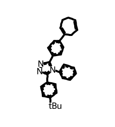 CC(C)(C)c1ccc(-c2nnc(-c3ccc(C4=CCCC=CC4)cc3)n2-c2ccccc2)cc1